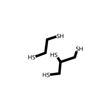 SCC(S)CS.SCCS